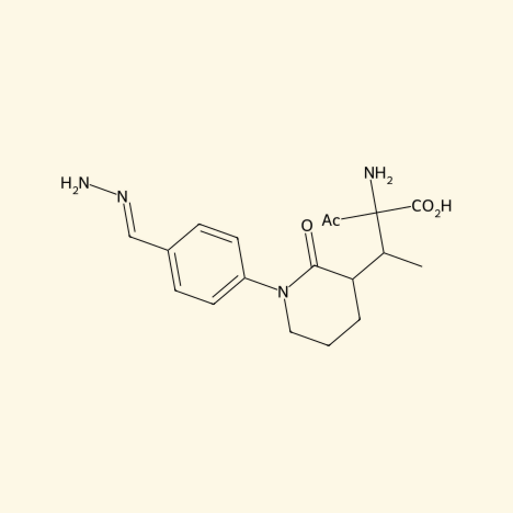 CC(=O)C(N)(C(=O)O)C(C)C1CCCN(c2ccc(C=NN)cc2)C1=O